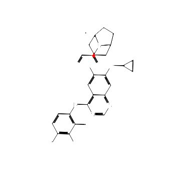 C=CC(=O)N1[C@@H]2CC[C@H]1C[C@H](Oc1cc3c(Nc4ccc(Cl)c(Cl)c4F)ncnc3cc1OC1CC1)C2